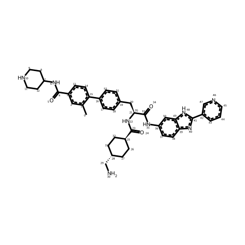 Cc1cc(C(=O)NC2CCNCC2)ccc1-c1ccc(C[C@H](NC(=O)[C@H]2CC[C@H](CN)CC2)C(=O)Nc2ccc3nc(-c4cccnc4)[nH]c3c2)cc1